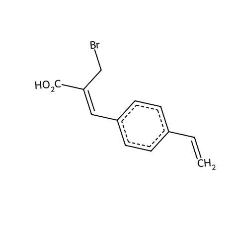 C=Cc1ccc(C=C(CBr)C(=O)O)cc1